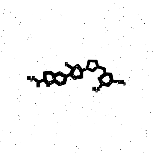 CNc1ccc2cc(-c3ccc(N4CCN(Cc5cc(C)cc(C)c5)C4)cc3F)ccc2n1